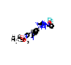 CC(C)(C)OC(=O)N1CCC(CN[C@@H]2[C@@H]3CC4C[C@H]2C[C@@](CNc2nc(NCc5ccccc5OC(F)(F)F)ncc2C#N)(C4)C3)CC1